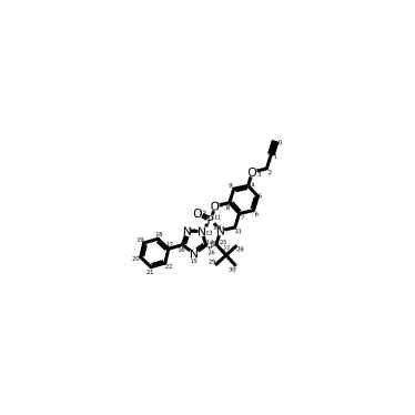 C#CCOc1ccc2c(c1)OP(=O)(n1cnc(-c3ccccc3)n1)N([C@@H](C)C(C)(C)C)C2